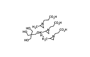 CC1CN1CCC(=O)O.CC1CN1CCC(=O)O.CC1CN1CCC(=O)O.OCC(CO)(CO)CO